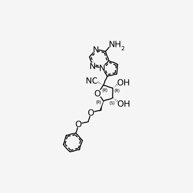 N#C[C@@]1(c2ccc3c(N)ncnn23)O[C@H](COCOc2ccccc2)[C@@H](O)[C@H]1O